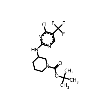 CC(C)(C)OC(=O)N1CCCC(Nc2ncc(C(F)(F)F)c(Cl)n2)C1